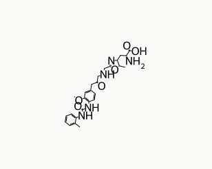 COc1cc(CC(=O)CNCC2=NC(CC(N)C(=O)O)C(C)O2)ccc1NC(=O)Nc1ccccc1C